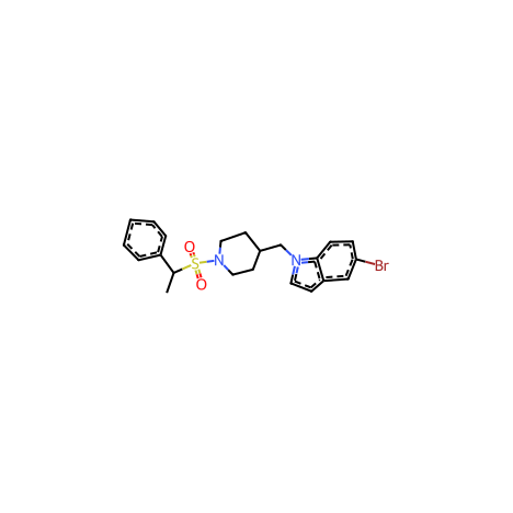 CC(c1ccccc1)S(=O)(=O)N1CCC(Cn2ccc3cc(Br)ccc32)CC1